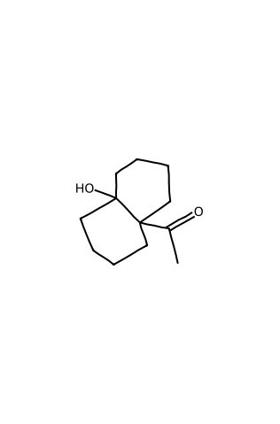 CC(=O)C12CCCCC1(O)CCCC2